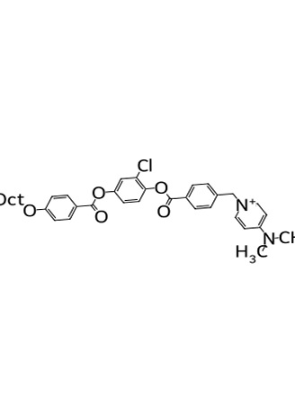 CCCCCCCCOc1ccc(C(=O)Oc2ccc(OC(=O)c3ccc(C[n+]4ccc(N(C)C)cc4)cc3)c(Cl)c2)cc1